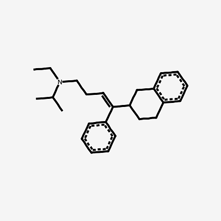 CCN(CCC=C(c1ccccc1)C1CCc2ccccc2C1)C(C)C